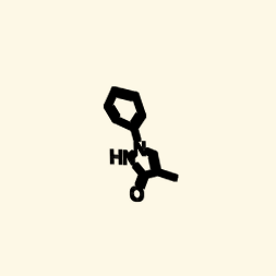 Cc1cn(-c2ccccc2)[nH]c1=O